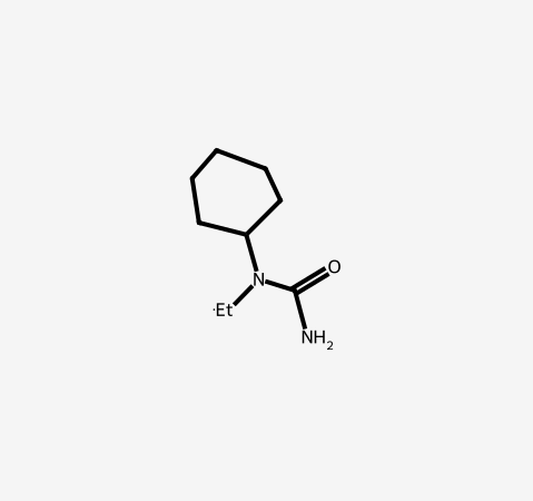 C[CH]N(C(N)=O)C1CCCCC1